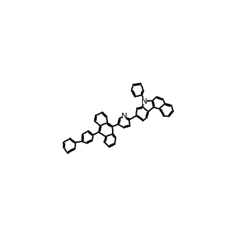 c1ccc(-c2ccc(-c3c4ccccc4c(-c4ccc(-c5ccc6c7c8ccccc8ccc7n(-c7ccccc7)c6c5)nc4)c4ccccc34)cc2)cc1